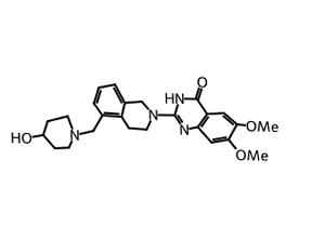 COc1cc2nc(N3CCc4c(CN5CCC(O)CC5)cccc4C3)[nH]c(=O)c2cc1OC